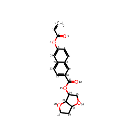 C=CC(=O)Oc1ccc2cc(C(=O)OC3COC4CCOC43)ccc2c1